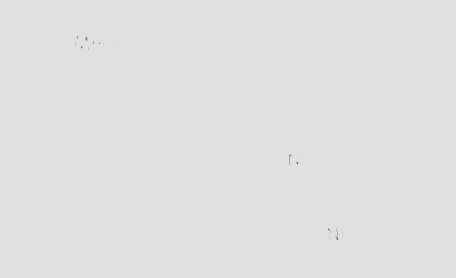 COc1ccc(Cn2c(N)cc3ccccc32)cc1